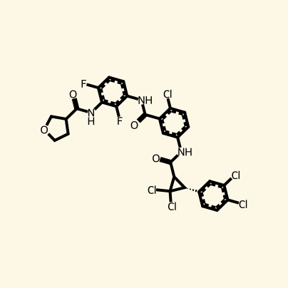 O=C(Nc1ccc(F)c(NC(=O)C2CCOC2)c1F)c1cc(NC(=O)C2[C@H](c3ccc(Cl)c(Cl)c3)C2(Cl)Cl)ccc1Cl